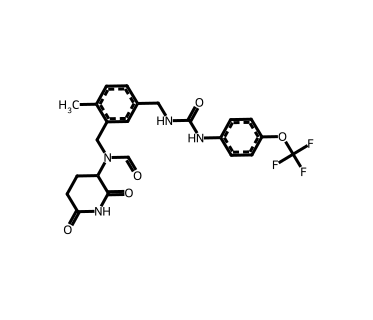 Cc1ccc(CNC(=O)Nc2ccc(OC(F)(F)F)cc2)cc1CN(C=O)C1CCC(=O)NC1=O